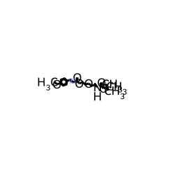 COc1ccc(/C=C/C(=O)OCCOCCNC(=O)OC(C)(C)C)cc1